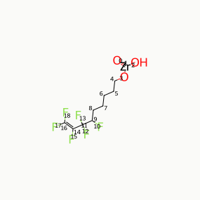 [O]=[Zr]([OH])[O]CCCCCC(F)C(F)(F)C(F)=C(F)F